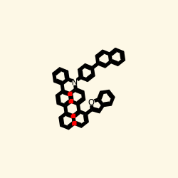 c1ccc(-c2ccc(-c3ccccc3N(c3ccc(-c4ccc5ccccc5c4)cc3)c3ccc(-c4ccccc4-c4cc5ccccc5o4)cc3)cc2)cc1